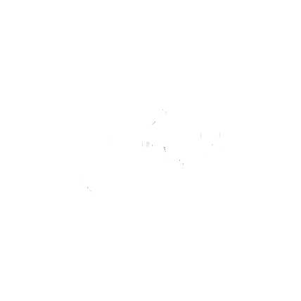 N#C[C@H](Cc1ccc(-c2cnoc2)cc1)NC(=O)[C@@H]1CCCCN1OC(=O)C(F)(F)F